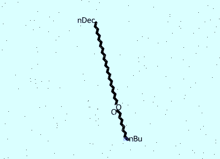 CCCC/C=C\CCCCCCCC(=O)OCCCCCCCCCCCCCCCCCCCCCCCCCCCCCCCCCCCC